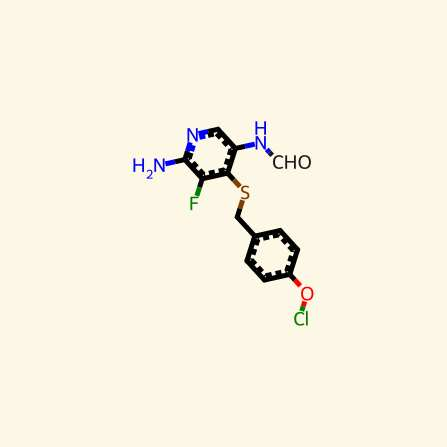 Nc1ncc(NC=O)c(SCc2ccc(OCl)cc2)c1F